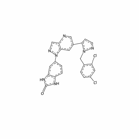 O=c1[nH]c2ccc(-n3ncc4ncc(-c5ccnn5Cc5ccc(Cl)cc5Cl)cc43)cc2[nH]1